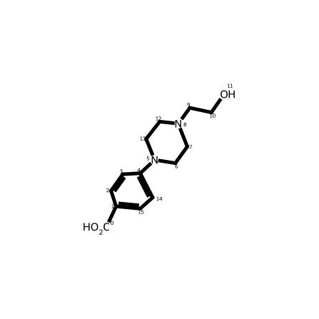 O=C(O)c1ccc(N2CCN(CCO)CC2)cc1